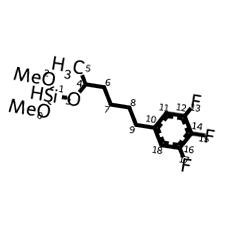 CO[SiH](OC)OC(C)CCCCc1cc(F)c(F)c(F)c1